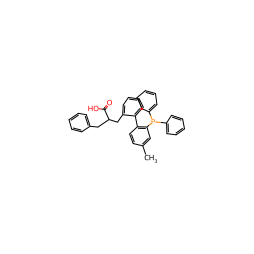 Cc1ccc(-c2ccccc2CC(Cc2ccccc2)C(=O)O)c(P(c2ccccc2)c2ccccc2)c1